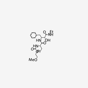 CCNC(=O)C(O)C(Cc1ccccc1)NC(=O)C(CC(C)C)NC(=O)OCCOC